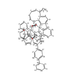 C=C1/C=C\C=C/Oc2c1ccc1c2C2(c3ccccc3C3(c4ccccc4-c4ccccc43)c3ccccc32)c2c-1cccc2C1N=C(c2ccccc2)C=C(c2ccc(-c3ccccc3)cc2)N1